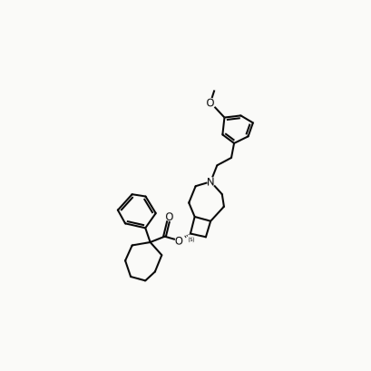 COc1cccc(CCN2CCC3C[C@H](OC(=O)C4(c5ccccc5)CCCCCC4)C3CC2)c1